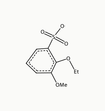 CCOc1c(OC)cccc1S([O])(=O)=O